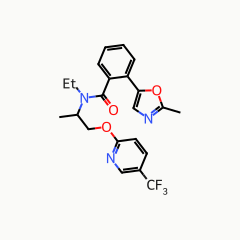 CCN(C(=O)c1ccccc1-c1cnc(C)o1)C(C)COc1ccc(C(F)(F)F)cn1